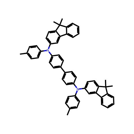 Cc1ccc(N(c2ccc(-c3ccc(N(c4ccc(C)cc4)c4ccc5c(c4)-c4ccccc4C5(C)C)cc3)cc2)c2ccc3c(c2)-c2ccccc2C3(C)C)cc1